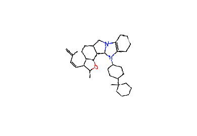 C=C(C)/C=C\C1C(C)OC2C1CCC1CN3C4=C(CCCC4)N(C4CCC(C5(C)CCCCC5)CC4)C3C12